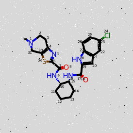 CN1CCc2nc(C(=O)N[C@@H]3CCCC[C@H]3NC(=O)c3cc4cc(Cl)ccc4[nH]3)sc2C1